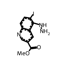 COC(=O)c1cnc2ccc(I)c(NN)c2c1